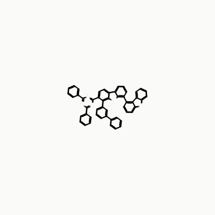 c1ccc(-c2cccc(-c3c(-c4nc(-c5ccccc5)nc(-c5ccccc5)n4)ccc4c3oc3c(-c5cccc6oc7ccccc7c56)cccc34)c2)cc1